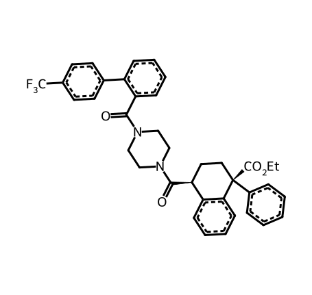 CCOC(=O)[C@]1(c2ccccc2)CC[C@H](C(=O)N2CCN(C(=O)c3ccccc3-c3ccc(C(F)(F)F)cc3)CC2)c2ccccc21